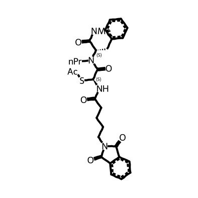 CCCN(C(=O)[C@@H](NC(=O)CCCCN1C(=O)c2ccccc2C1=O)SC(C)=O)[C@@H](Cc1ccccc1)C(=O)NC